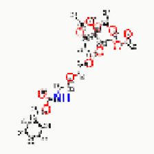 CC(=O)OC[C@H]1O[C@@H](OCCOCCNC(=O)OCc2ccccc2)C[C@@H](OC(C)=O)[C@H]1OC(C)=O